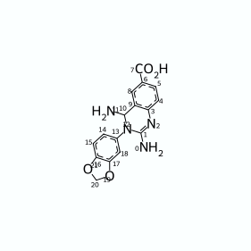 NC1=Nc2ccc(C(=O)O)cc2C(N)N1c1ccc2c(c1)OCO2